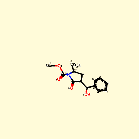 CC(C)(C)OC(=O)N1C(=O)C([C@H](O)c2ccccc2)CC1C(=O)O